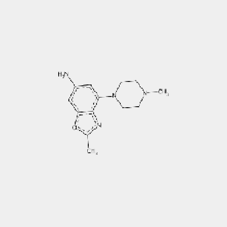 Cc1nc2c(N3CCN(C)CC3)cc(N)cc2o1